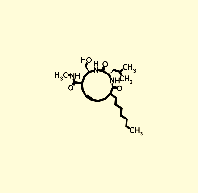 CCCCCCCC1CC/C=C\CC(C(=O)NC)C[C@@H](CO)NC(=O)[C@H](CC(C)C)NC1=O